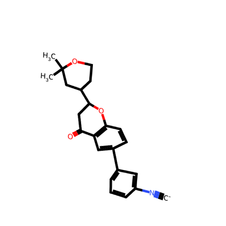 [C-]#[N+]c1cccc(-c2ccc3c(c2)C(=O)CC(C2CCOC(C)(C)C2)O3)c1